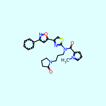 Cn1cccc1C(=O)N(CCCN1CCCC1=O)c1nc(-c2cc(-c3ccccc3)no2)cs1